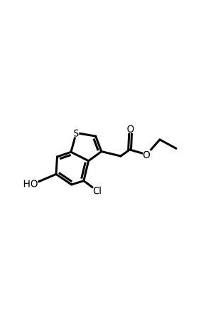 CCOC(=O)Cc1csc2cc(O)cc(Cl)c12